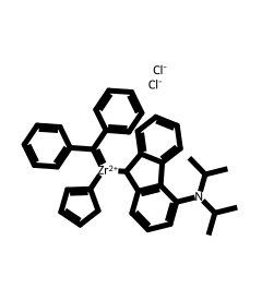 CC(C)N(c1cccc2c1-c1ccccc1[CH]2[Zr+2]([C]1=CC=CC1)=[C](c1ccccc1)c1ccccc1)C(C)C.[Cl-].[Cl-]